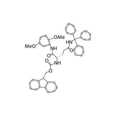 COc1ccc(OC)c(NC(=O)[C@H](CCC(=O)NC(c2ccccc2)(c2ccccc2)c2ccccc2)NC(=O)OCC2c3ccccc3-c3ccccc32)c1